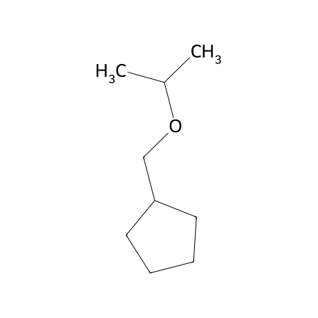 CC(C)OCC1CCCC1